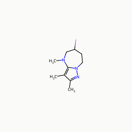 Cc1nn2c(c1C)N(C)CC(I)CC2